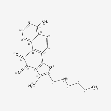 CCCCNCc1oc2c(c1C)C(=O)C(=O)c1c-2ccc2c(C)cccc12